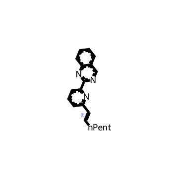 CCCCC/C=C/c1cccc(-c2ncc3ccccc3n2)n1